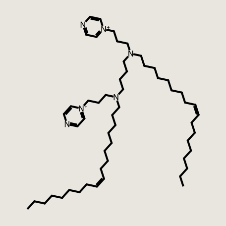 CCCCCCCC/C=C\CCCCCCCCN(CCCCN(CCCCCCCC/C=C\CCCCCCCC)CCC[n+]1ccncc1)CCC[n+]1ccncc1